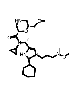 COC[C@@H]1CNC[C@H](C(=O)N(C2CC2)[C@H](C)C2=CN(CCCNOC)C(C3CCCCC3)N2)O1